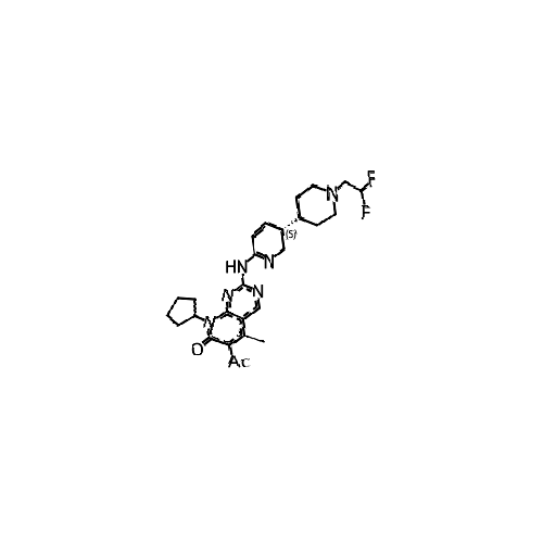 CC(=O)c1c(C)c2cnc(NC3=NC[C@@H](C4CCN(CC(F)F)CC4)C=C3)nc2n(C2CCCC2)c1=O